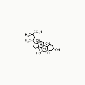 CC(C[C@@H](C)[C@H]1CC[C@H]2[C@@H]3[C@@H](O)C[C@@H]4C[C@H](O)CC[C@]4(C)[C@H]3CC[C@]12C)C(=O)O